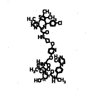 Cc1sc2c(c1C)C(c1ccc(Cl)cc1)=N[C@@H](CC(=O)N[C@H]1C[C@@H](Oc3ccc(OCC(=O)NC(C(=O)N4C[C@H](O)C[C@H]4C(=O)N[C@@H](C)c4ccc(-n5ccnc5C)cc4)C(C)(C)C)cn3)C1)c1nnc(C)n1-2